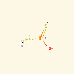 O[PH](=S)S.[Ni]